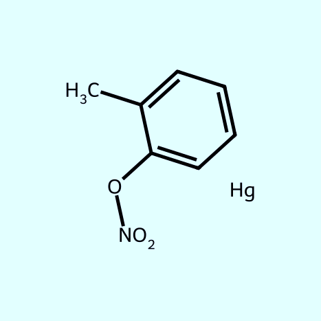 Cc1ccccc1O[N+](=O)[O-].[Hg]